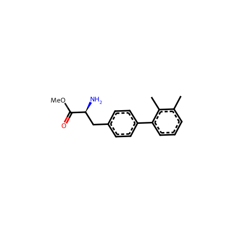 COC(=O)[C@@H](N)Cc1ccc(-c2cccc(C)c2C)cc1